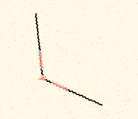 CCCCCCCCCCCCCCCCCCCCC=COOOOOOOOOOCCCCOP(=O)(O)OCCCCOOOOOOOOOOC=CCCCCCCCCCCCCCCCCCCCC